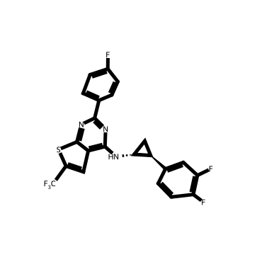 Fc1ccc(-c2nc(N[C@@H]3C[C@H]3c3ccc(F)c(F)c3)c3cc(C(F)(F)F)sc3n2)cc1